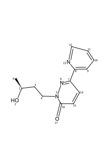 C[C@H](O)CCn1nc(-c2ccccn2)ccc1=O